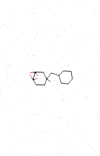 O=C(O)C1(CC2CCCCC2)CCC23OC2(C1)O3